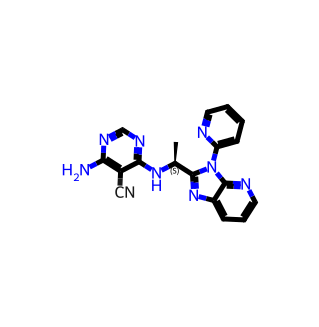 C[C@H](Nc1ncnc(N)c1C#N)c1nc2cccnc2n1-c1ccccn1